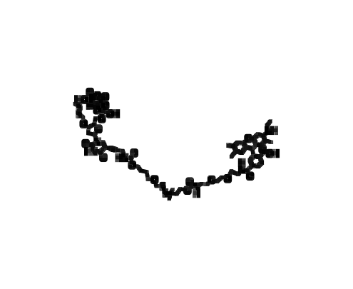 C=c1cc2c(cc1C)=C(c1cc(C(=O)NCCOCCOCCNC(=O)OCCC(C)(C)SSCOCCCCOC(=O)NCC#Cc3cn([C@H]4C[C@H](OCSSC)[C@@H](COP(=O)(O)OP(=O)(O)OP(=O)(O)O)O4)c(=O)[nH]c3=O)ccc1C(=O)O)c1cc(C)c(NCC)cc1O2